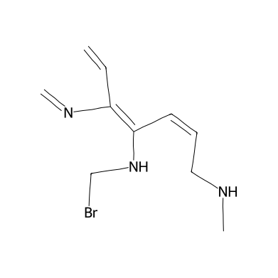 C=C/C(N=C)=C(\C=C/CNC)NCBr